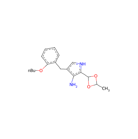 CCCCOc1ccccc1Cc1c[nH]c(C2OC(C)O2)c1N